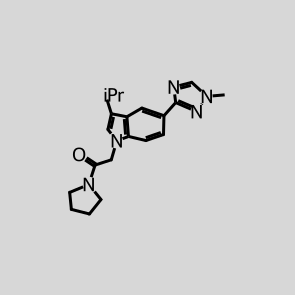 CC(C)c1cn(CC(=O)N2CCCC2)c2ccc(-c3ncn(C)n3)cc12